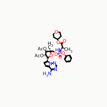 CC(=O)O[C@H]1[C@H](c2ccc3c(N)ncnn23)O[C@](C)(COP(=O)(N[C@@H](C)C(=O)OC2CCOCC2)Oc2ccccc2)[C@H]1OC(C)=O